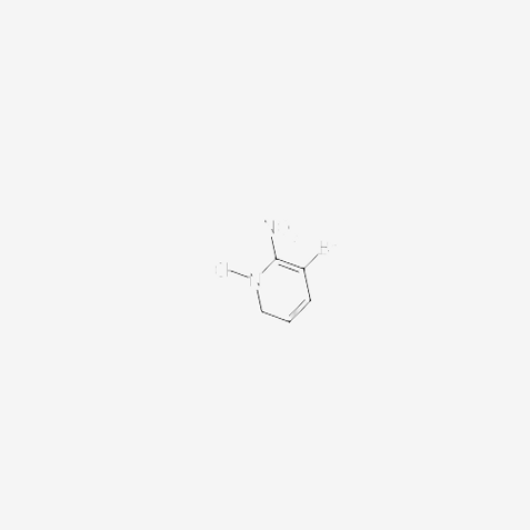 O=[N+]([O-])C1=C(Br)C=CCN1Cl